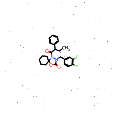 CCC(C(=O)N1N(Cc2ccc(F)c(F)c2)C(=O)OC12CCCCC2)c1ccccc1